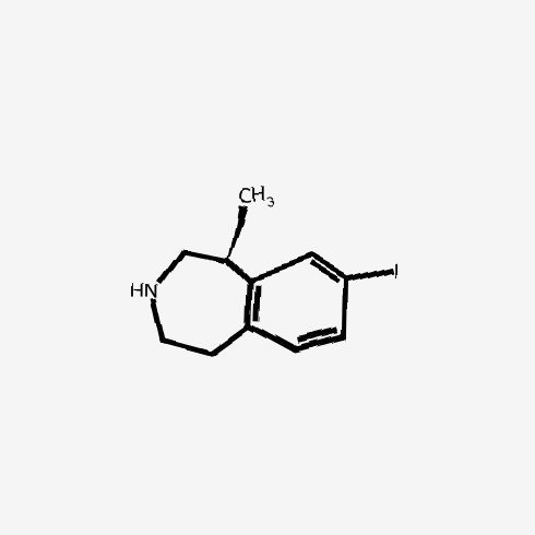 C[C@@H]1CNCCc2ccc(I)cc21